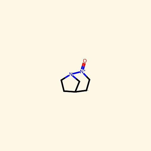 O=[N+]1C[CH]C2CCN1C2